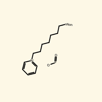 CCCCCCCCCCCCCCCC[n+]1ccccc1.O=P[O-]